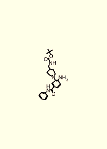 CC(C)(C)OC(=O)NCC1CCN(c2cc(C(=O)Nc3ccccc3)ccc2N)CC1